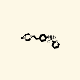 CN1CCN(CCc2ccc(NS(=O)(=O)c3ccccn3)cc2)CC1